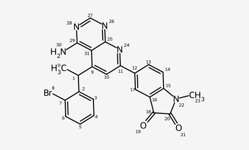 CC(c1ccccc1Br)c1cc(-c2ccc3c(c2)C(=O)C(=O)N3C)nc2ncnc(N)c12